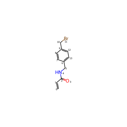 C=CC(=O)NCc1ccc(CBr)cc1